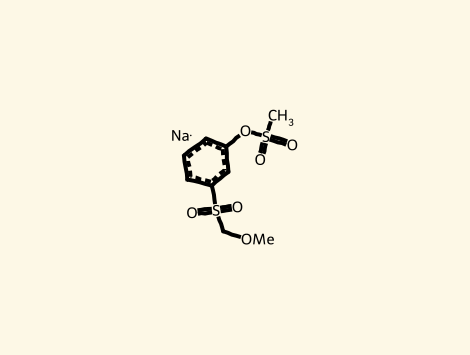 COCS(=O)(=O)c1cccc(OS(C)(=O)=O)c1.[Na]